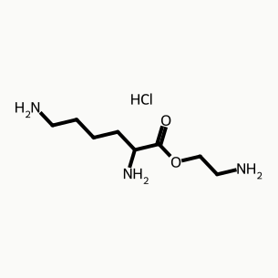 Cl.NCCCCC(N)C(=O)OCCN